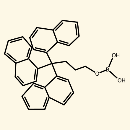 OB(O)OCCCC(c1cccc2ccccc12)(c1cccc2ccccc12)c1cccc2ccccc12